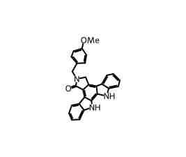 COc1ccc(CN2Cc3c(c4c5ccccc5[nH]c4c4[nH]c5ccccc5c34)C2=O)cc1